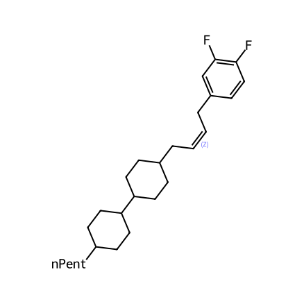 CCCCCC1CCC(C2CCC(C/C=C\Cc3ccc(F)c(F)c3)CC2)CC1